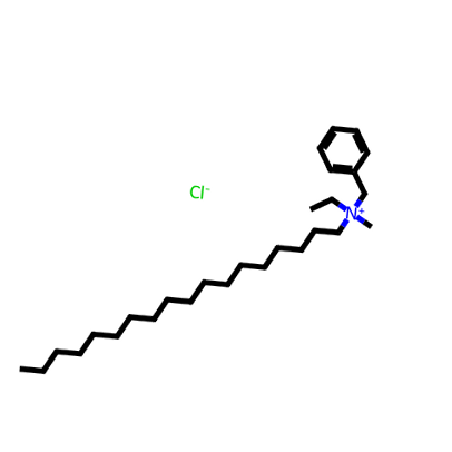 CCCCCCCCCCCCCCCCCC[N+](C)(CC)Cc1ccccc1.[Cl-]